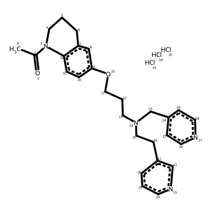 CC(=O)N1CCCc2cc(OCCCN(CCc3cccnc3)Cc3ccncc3)ccc21.Cl.Cl.Cl